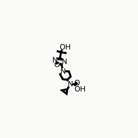 CC(C)(O)c1noc(N2CCC(N(C(=O)O)C3CC3)CC2)n1